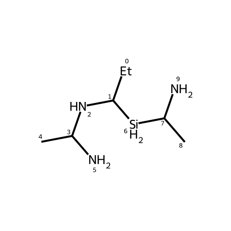 CCC(NC(C)N)[SiH2]C(C)N